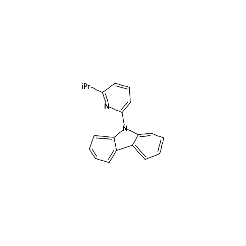 CC(C)c1cccc(-n2c3ccccc3c3ccccc32)n1